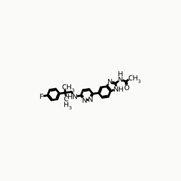 CC(=O)Nc1nc2cc(-c3ccc(NCC(C)(C)c4ccc(F)cc4)nn3)ccc2[nH]1